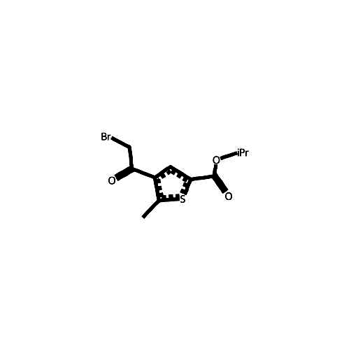 Cc1sc(C(=O)OC(C)C)cc1C(=O)CBr